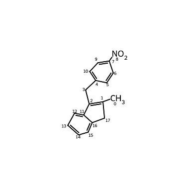 CC1=C(Cc2ccc([N+](=O)[O-])cc2)c2ccccc2C1